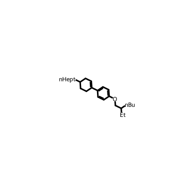 CCCCCCCC1CC=C(c2ccc(OCC(CC)CCCC)cc2)CC1